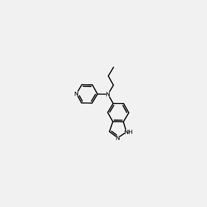 CCCN(c1ccncc1)c1ccc2[nH]ncc2c1